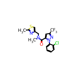 Cc1nc(CN(C)C(=O)c2cc(C(F)(F)F)nn2-c2ccccc2Cl)cs1